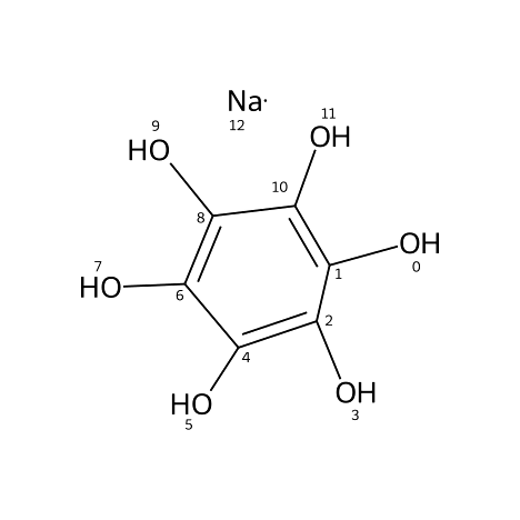 Oc1c(O)c(O)c(O)c(O)c1O.[Na]